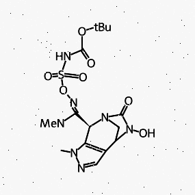 CN/C(=N\OS(=O)(=O)NC(=O)OC(C)(C)C)[C@@H]1c2c(cnn2C)C2CN1C(=O)N2O